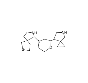 C1CC2(CCSC2)C(N2CCOC(C3CNCC34CC4)C2)N1